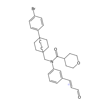 O=C/C=C/c1cccc(N(CC23CCC(c4ccc(Br)cc4)(CC2)CC3)C(=O)C2CCOCC2)c1